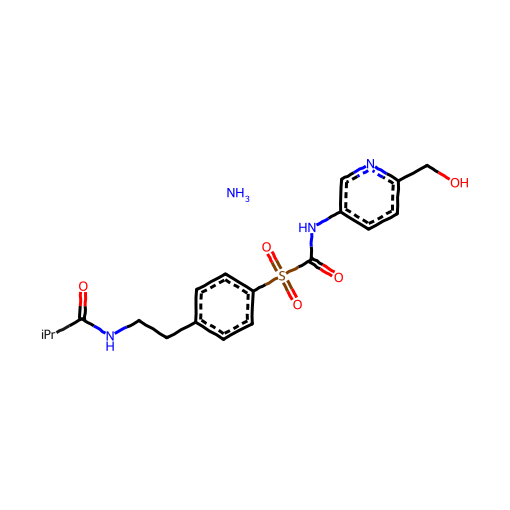 CC(C)C(=O)NCCc1ccc(S(=O)(=O)C(=O)Nc2ccc(CO)nc2)cc1.N